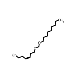 CCCCCCCCCOCOCC/C=C\CCBr